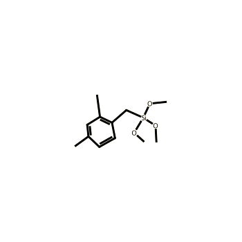 CO[Si](Cc1ccc(C)cc1C)(OC)OC